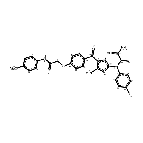 COc1ccc(NC(=O)COc2ccc(C(=O)c3sc(N(c4ccc(F)cc4)C(C)C(N)=O)nc3N)cc2)cc1